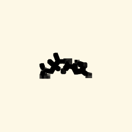 CCCCN(C)CC(C)(C)C(C)NC(=O)c1cc(CC)on1